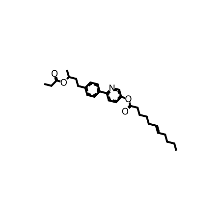 CCCCC=CCCCCC(=O)Oc1ccc(-c2ccc(CCC(C)OC(=O)CC)cc2)nc1